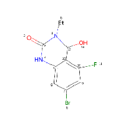 CCN1C(=O)Nc2cc(Br)cc(F)c2C1O